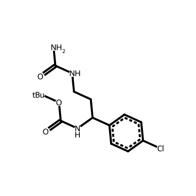 CC(C)(C)OC(=O)NC(CCNC(N)=O)c1ccc(Cl)cc1